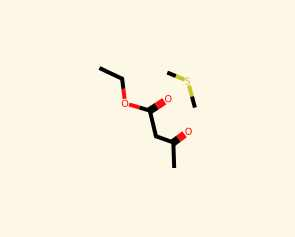 CCOC(=O)CC(C)=O.CSC